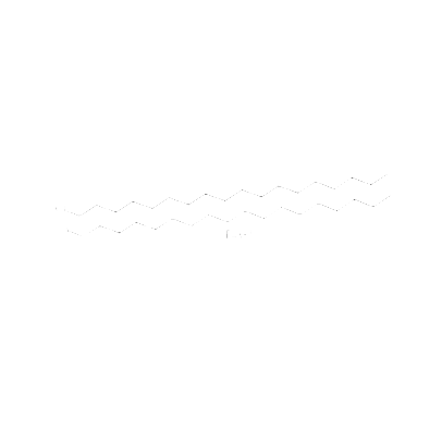 CCCCCCCCCCCCCCCCCC[O-].CCCCCCCCCCCCCCCCCC[O-].[Ba+2]